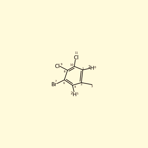 [2H]c1c(C)c([2H])c(Br)c(Cl)c1Cl